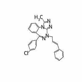 Cc1nnc2n1-c1ccccc1C(c1ccc(Cl)cc1)=NN2CC=Cc1ccccc1